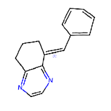 C(=C1/CCCc2nccnc21)/c1ccccc1